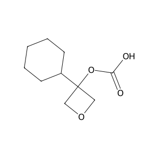 O=C(O)OC1(C2CCCCC2)COC1